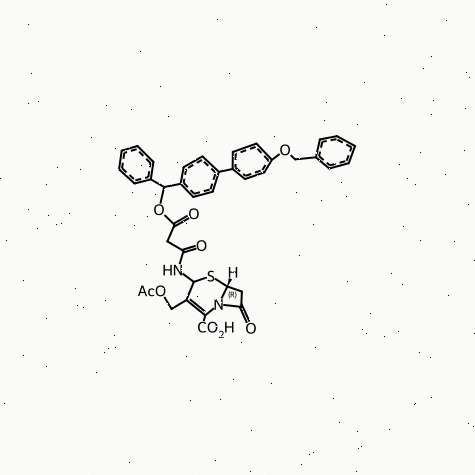 CC(=O)OCC1=C(C(=O)O)N2C(=O)C[C@H]2SC1NC(=O)CC(=O)OC(c1ccccc1)c1ccc(-c2ccc(OCc3ccccc3)cc2)cc1